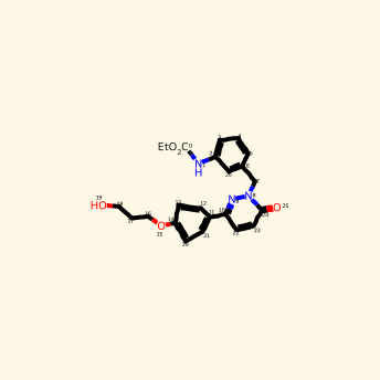 CCOC(=O)Nc1cccc(Cn2nc(-c3ccc(OCCCO)cc3)ccc2=O)c1